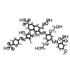 COc1ccc(/N=N/c2cc(OCCO)c(/N=N/c3c(SOOO)cc4cc(S(=O)(=O)O)cc(-n5nc(C)c(/N=N/c6ccc(S(=O)(=O)O)cc6)c5O)c4c3O)cc2OCCO)c(S(=O)(=O)O)c1